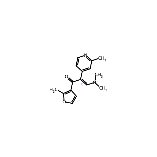 Cc1cc(/C(=C\N(C)C)C(=O)c2ccoc2C)ccn1